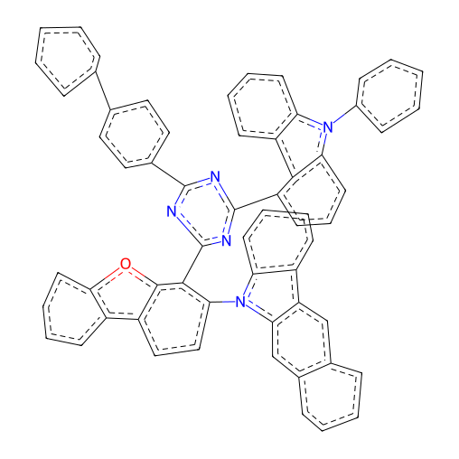 c1ccc(-c2ccc(-c3nc(-c4c(-n5c6ccccc6c6cc7ccccc7cc65)ccc5c4oc4ccccc45)nc(-c4cccc5c4c4ccccc4n5-c4ccccc4)n3)cc2)cc1